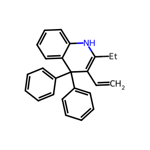 C=CC1=C(CC)Nc2ccccc2C1(c1ccccc1)c1ccccc1